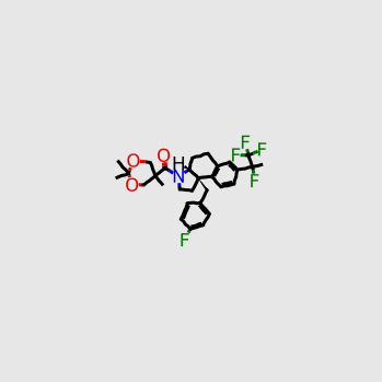 CC1(C)OCC(C)(C(=O)N2CC[C@@]3(Cc4ccc(F)cc4)c4ccc(C(C)(F)C(F)(F)F)cc4CC[C@@H]23)CO1